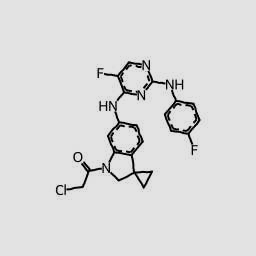 O=C(CCl)N1CC2(CC2)c2ccc(Nc3nc(Nc4ccc(F)cc4)ncc3F)cc21